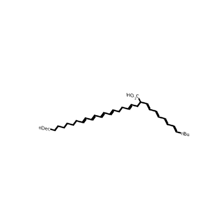 CCCCC=CC=CC=CC=CC(CC=CCCC=CC=CC=CC=CCCCCCCCCCCCCCCCC)C(=O)O